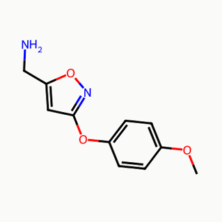 COc1ccc(Oc2cc(CN)on2)cc1